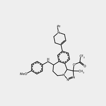 COc1ccc(NC2CCN3N=NC(C)(OC(=O)C(F)(F)F)C3c3ccc(C4=CCN(C(C)C)CC4)cc32)cc1